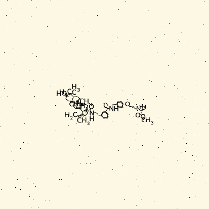 C=C(C)[C@@H]1CC[C@]2(C(=O)NCCc3cccc(C(=O)NCc4ccc(OCCCn5cncc5C(=O)OC)cc4)c3)CC[C@]3(C)C(CCC4[C@@]5(C)CC[C@H](O)C(C)(C)C5CC[C@]43C)C12